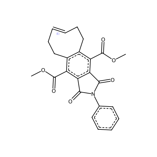 COC(=O)c1c2c(c(C(=O)OC)c3c1C(=O)N(c1ccccc1)C3=O)CC/C=C/CC2